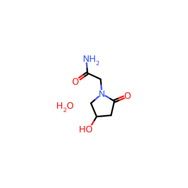 NC(=O)CN1CC(O)CC1=O.O